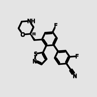 N#Cc1ccc(-c2cc(F)cc(C[C@@H]3CNCCO3)c2-c2ccns2)cc1F